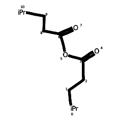 CC(C)CCC(=O)OC(=O)CCC(C)C